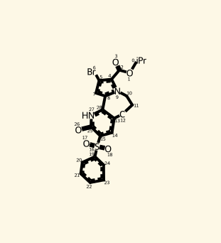 CC(C)OC(=O)c1c(Br)cc2n1CCCc1cc(S(=O)(=O)c3ccccc3)c(=O)[nH]c1-2